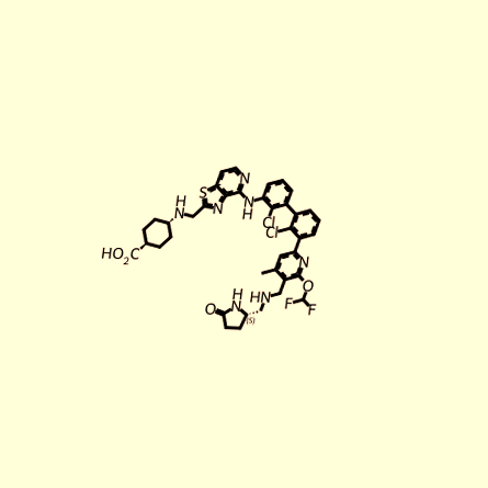 Cc1cc(-c2cccc(-c3cccc(Nc4nccc5sc(CN[C@H]6CC[C@H](C(=O)O)CC6)nc45)c3Cl)c2Cl)nc(OC(F)F)c1CNC[C@@H]1CCC(=O)N1